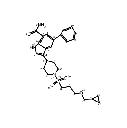 NC(=O)c1cc(-c2ccccc2)cc2c(C3CCN(S(=O)(=O)CCCOCC4CC4)CC3)c[nH]c12